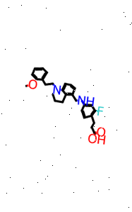 COc1ccccc1CCN1CCCc2c(CNc3ccc(CCC(=O)O)c(F)c3)cccc21